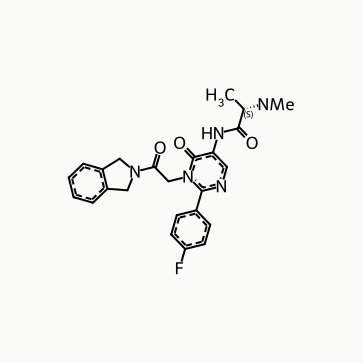 CN[C@@H](C)C(=O)Nc1cnc(-c2ccc(F)cc2)n(CC(=O)N2Cc3ccccc3C2)c1=O